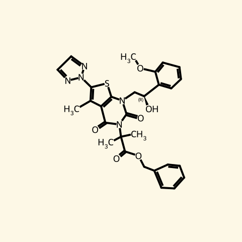 COc1ccccc1[C@@H](O)Cn1c(=O)n(C(C)(C)C(=O)OCc2ccccc2)c(=O)c2c(C)c(-n3nccn3)sc21